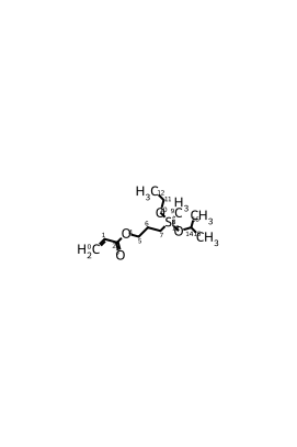 C=CC(=O)OCCC[Si](C)(OCC)OC(C)C